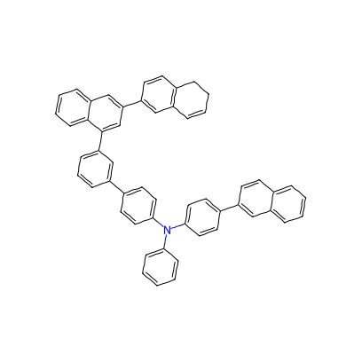 C1=Cc2cc(-c3cc(-c4cccc(-c5ccc(N(c6ccccc6)c6ccc(-c7ccc8ccccc8c7)cc6)cc5)c4)c4ccccc4c3)ccc2CC1